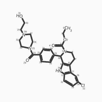 CCOC(=O)N1CCc2c([nH]c3ccc(Cl)cc23)C1c1ccc(C(=O)N2CCN(CCO)CC2)cc1